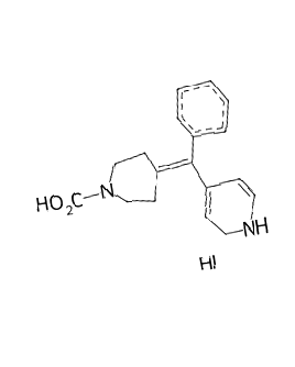 I.O=C(O)N1CCC(=C(C2=CCNC=C2)c2ccccc2)CC1